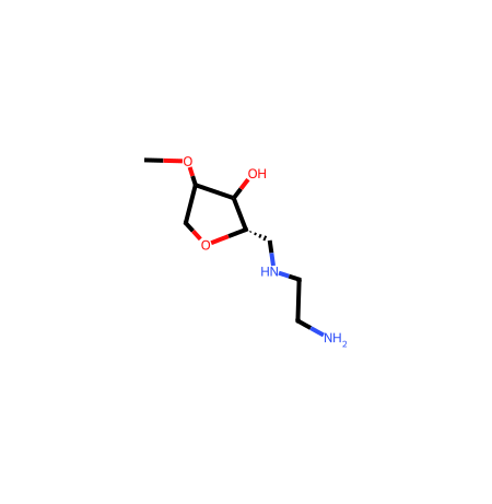 COC1CO[C@@H](CNCCN)C1O